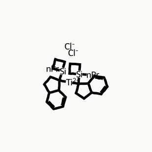 CCC[Si]1([C]2([Ti+2][C]3([Si]4(CCC)CCC4)CCC4C=CC=CC43)CCC3C=CC=CC32)CCC1.[Cl-].[Cl-]